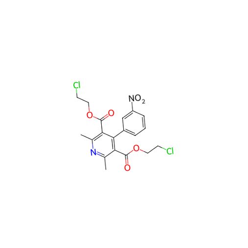 Cc1nc(C)c(C(=O)OCCCl)c(-c2cccc([N+](=O)[O-])c2)c1C(=O)OCCCl